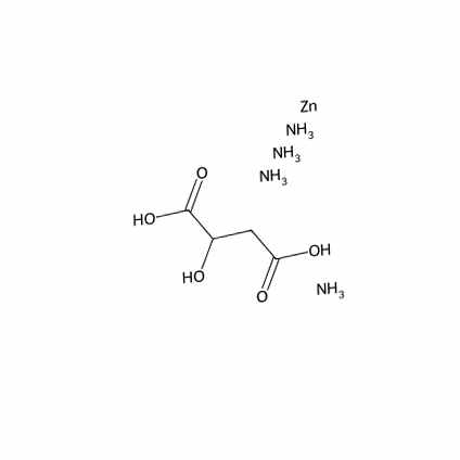 N.N.N.N.O=C(O)CC(O)C(=O)O.[Zn]